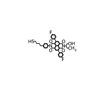 CCC(CO)N1C(=O)c2cc(-c3ccc(F)cc3)c3c4c(cc(-c5ccc(F)cc5)c(c24)C1=O)C(=O)N(c1ccc(CCCCS)cc1)C3=O